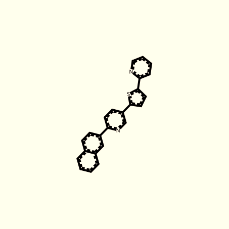 c1ccc(-c2ccc(-c3ccc(-c4ccc5ccccc5c4)nc3)s2)nc1